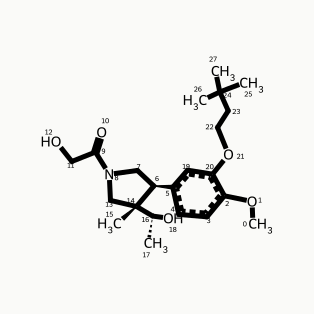 COc1ccc([C@@H]2CN(C(=O)CO)C[C@@]2(C)[C@@H](C)O)cc1OCCC(C)(C)C